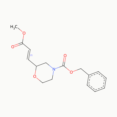 COC(=O)/C=C/C1CN(C(=O)OCc2ccccc2)CCO1